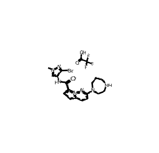 Cn1cc(NC(=O)c2ccc3ccc(N4CCCNCC4)nn23)c(Br)n1.O=C(O)C(F)(F)F